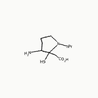 CCCN1CCC(N)C1(S)C(=O)O